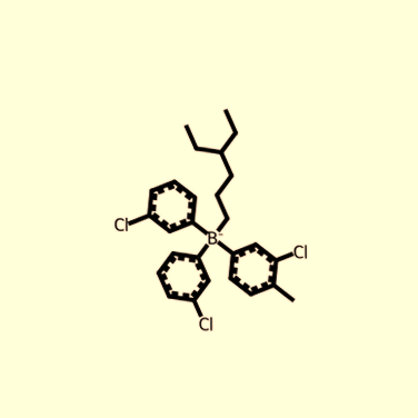 CCC(CC)CCC[B-](c1cccc(Cl)c1)(c1cccc(Cl)c1)c1ccc(C)c(Cl)c1